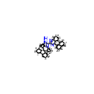 c1ccc2c(c1)-c1ccccc1C21c2ccccc2N2c3c(cccc31)NC2c1nc(-c2cccc3ccccc23)c2ccccc2n1